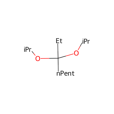 CCCCCC(CC)(OC(C)C)OC(C)C